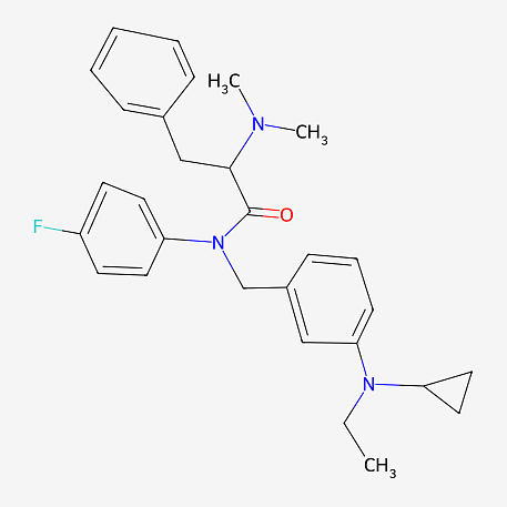 CCN(c1cccc(CN(C(=O)C(Cc2ccccc2)N(C)C)c2ccc(F)cc2)c1)C1CC1